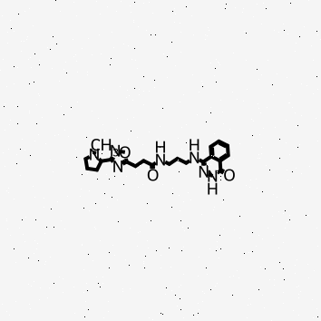 CN1CCCC1c1noc(CCC(=O)NCCCNc2n[nH]c(=O)c3ccccc23)n1